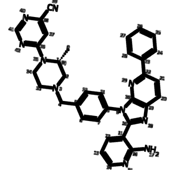 C[C@@H]1CN(Cc2ccc(-n3c(-c4cccnc4N)nc4ccc(-c5ccccc5)nc43)cc2)CCN1c1cc(C#N)ncn1